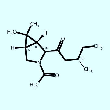 CC[C@H](C)CC(=O)[C@@H]1[C@@H]2[C@H](CN1C(C)=O)C2(C)C